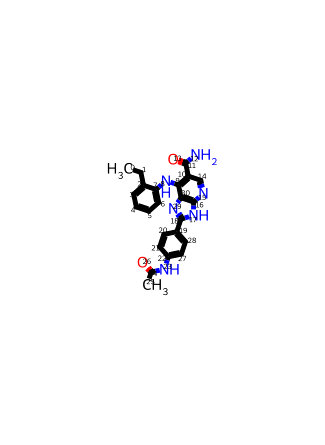 CCc1ccccc1Nc1c(C(N)=O)cnc2[nH]c(-c3ccc(NC(C)=O)cc3)nc12